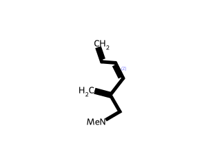 C=C/C=C\C(=C)CNC